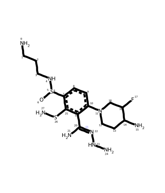 NCCCN[S+]([O-])c1ccc(N2CCC(N)C(F)C2)c(/C(N)=N/NN)c1SN